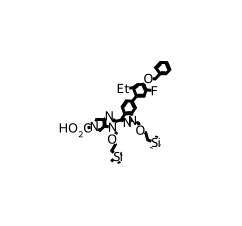 CCc1cc(OCc2ccccc2)c(F)cc1-c1ccc2c(-c3nc4c(n3COCC[Si](C)(C)C)CN(C(=O)O)C4)nn(COCC[Si](C)(C)C)c2c1